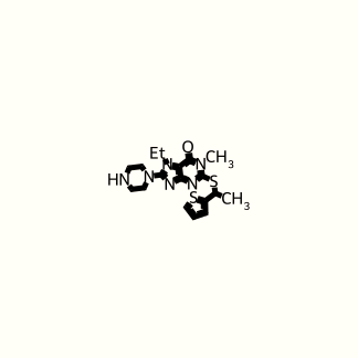 CCn1c(N2CCNCC2)nc2nc(SC(C)c3cccs3)n(C)c(=O)c21